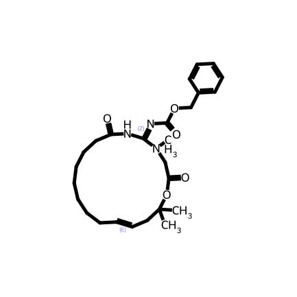 CN1CC(=O)OC(C)(C)C/C=C/CCCCCCCC(=O)N/C1=N/C(=O)OCc1ccccc1